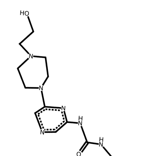 CCNC(=O)Nc1cncc(N2CCN(CCO)CC2)n1